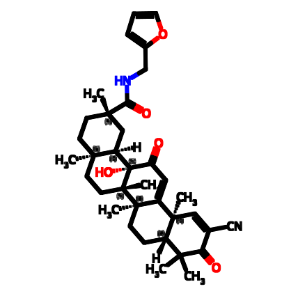 CC1(C)C(=O)C(C#N)=C[C@]2(C)C3=CC(=O)[C@]4(O)[C@@H]5C[C@@](C)(C(=O)NCc6ccco6)CC[C@]5(C)CC[C@@]4(C)[C@]3(C)CC[C@@H]12